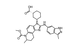 COC(=O)N1c2ccc3c(nc(Nc4ccc5c(C)n[nH]c5c4)n3[C@@H]3CCC[C@@H](C(=O)O)C3)c2CCC1C